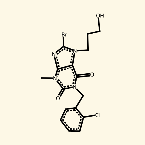 Cn1c(=O)n(Cc2ccccc2Cl)c(=O)c2c1nc(Br)n2CCCO